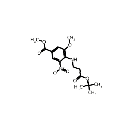 COC(=O)c1cc(OC)c(NCCC(=O)OC(C)(C)C)c([N+](=O)[O-])c1